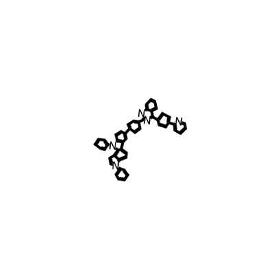 c1ccc(-n2ccc3c2ccc2c4cc(-c5ccc(-c6nc(-c7ccc(-c8ccccn8)cc7)c7ccccc7n6)cc5)ccc4n(-c4ccccc4)c23)cc1